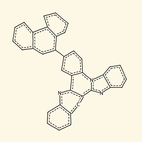 c1ccc2nc3c4cc(-c5cc6ccccc6c6ccccc56)ccc4n4c5ccccc5nc4c3cc2c1